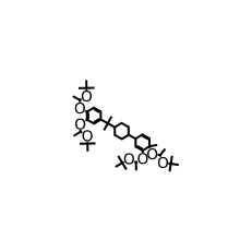 CC(OC1=CC(C2CCC(C(C)(C)c3ccc(OC(C)OC(C)(C)C)c(OC(C)OC(C)(C)C)c3)CC2)C=CC1(C)OC(C)OC(C)(C)C)OC(C)(C)C